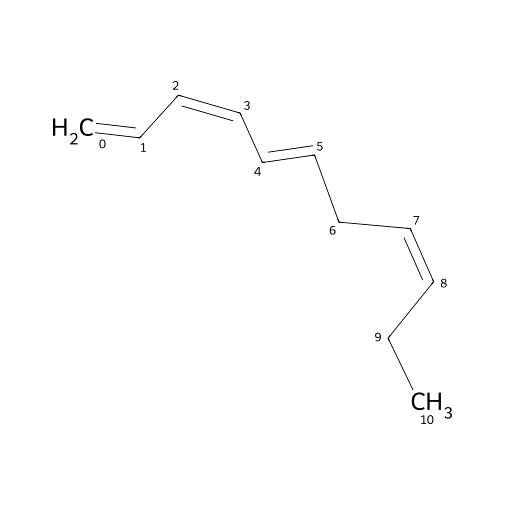 C=C/C=C\C=C\C/C=C\CC